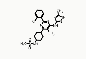 Cc1nc(Nc2nc(-c3ccccc3Cl)nc(C3CCC(NS(C)(=O)=O)CC3)c2C)n[nH]1